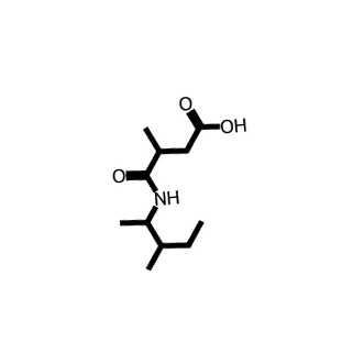 CCC(C)C(C)NC(=O)C(C)CC(=O)O